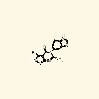 CCc1[nH]ncc1C(=O)N(C(=N)N)c1ccc2[nH]cnc2c1